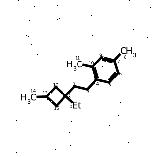 CCC1(CCc2ccc(C)cc2C)CC(C)C1